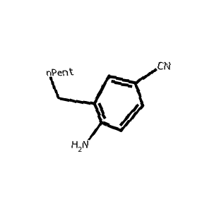 CCCCCCc1cc(C#N)ccc1N